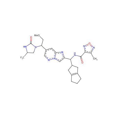 COCC(c1cnn2cc(C(NC(=O)c3nonc3C)C3CC4=C(CCC4)C3)nc2c1)N1CC(C(F)(F)F)NC1=O